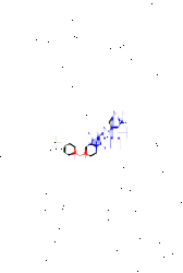 Cc1cc(NCc2nc3cc(Oc4ccc(F)cc4)ccc3[nH]2)ccn1